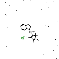 CC1=C(C)C(C)(C)[C]([Hf+2][CH]2CCC3C=CC=CC32)=C1C.[Br-].[Cl-]